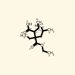 CCOC(=O)C(CC)(CC(C)C)C(CC)C(=O)O